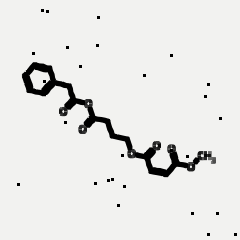 COC(=O)/C=C\C(=O)OCCCC(=O)OC(=O)Cc1ccccc1